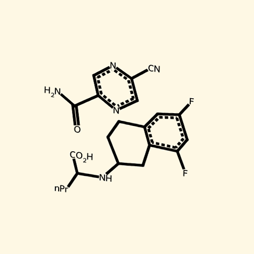 CCCC(NC1CCc2cc(F)cc(F)c2C1)C(=O)O.N#Cc1cnc(C(N)=O)cn1